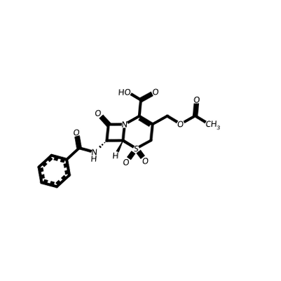 CC(=O)OCC1=C(C(=O)O)N2C(=O)[C@@H](NC(=O)c3ccccc3)[C@H]2S(=O)(=O)C1